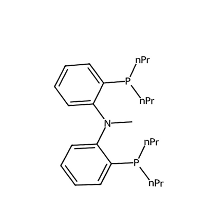 CCCP(CCC)c1ccccc1N(C)c1ccccc1P(CCC)CCC